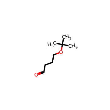 CC(C)(C)OCCCC=O